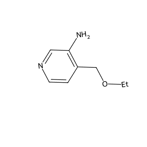 CCOCc1ccncc1N